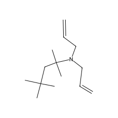 C=CCN(CC=C)C(C)(C)CC(C)(C)C